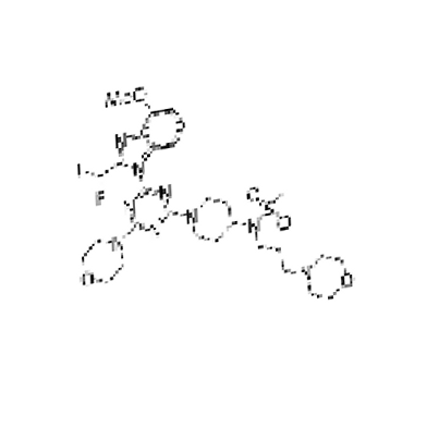 COc1cccc2c1nc(C(F)F)n2-c1nc(N2CCOCC2)nc(N2CCC(N(CCCN3CCOCC3)S(C)(=O)=O)CC2)n1